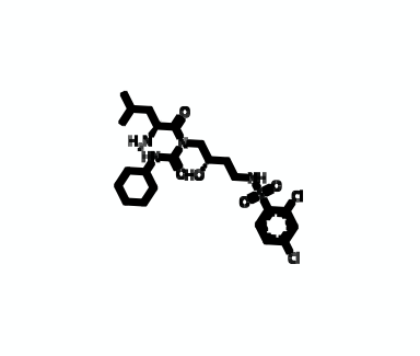 CC(C)C[C@H](N)C(=O)N(C[C@@H](O)CCNS(=O)(=O)c1ccc(Cl)cc1Cl)C(=O)NC1CCCCC1